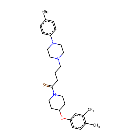 Cc1ccc(OC2CCN(C(=S)CCCN3CCN(c4ccc(C(C)(C)C)cc4)CC3)CC2)cc1C(F)(F)F